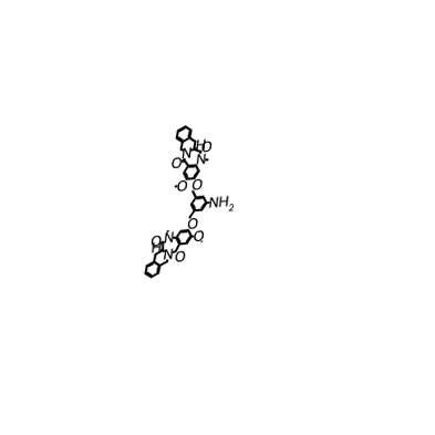 COc1cc2c(cc1OCc1cc(N)cc(COc3cc4c(cc3OC)C(=O)N3Cc5ccccc5C[C@H]3C(=O)N4C)c1)N(C)C(=O)[C@@H]1Cc3ccccc3CN1C2=O